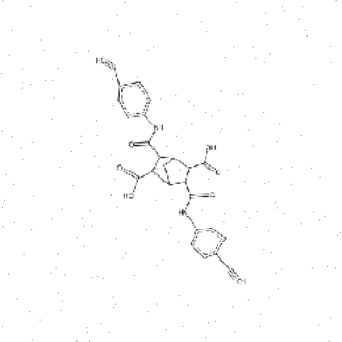 C#Cc1ccc(NC(=O)C2C3CC(C2C(=O)O)C(C(=O)Nc2ccc(C#C)cc2)C3C(=O)O)cc1